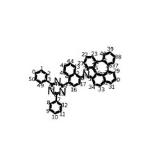 c1ccc(-c2nc(-c3ccccc3)nc(-c3ccc(-n4c5cccc6c5c5c7c(cccc7ccc54)-c4ccccc4-6)c4ccccc34)n2)cc1